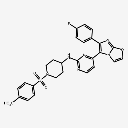 O=C(O)c1ccc(S(=O)(=O)N2CCC(Nc3nccc(-c4c(-c5ccc(F)cc5)nc5occn45)n3)CC2)cc1